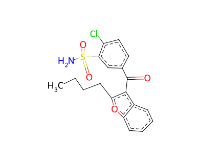 CCCCc1oc2ccccc2c1C(=O)c1ccc(Cl)c(S(N)(=O)=O)c1